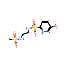 CS(=O)(=O)NCCNS(=O)(=O)c1ccc(Br)cn1